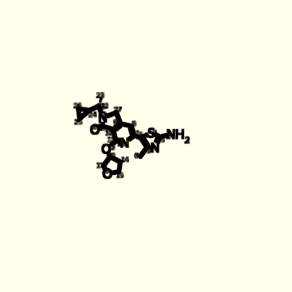 Cc1nc(N)sc1-c1cc2c(c(OC3CCOC3)n1)C(=O)N([C@@H](C)C1CC1)C2